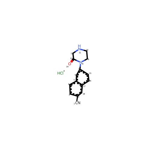 Cl.N#Cc1ccc2cc(N3CCNCC3=O)ccc2c1